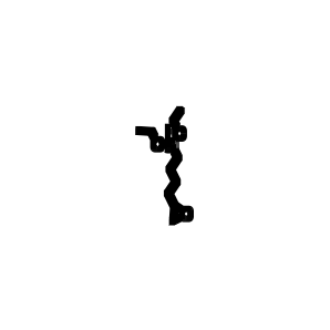 CCO[SiH](CCCCC1CO1)OCC